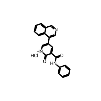 Cl.O=C(Nc1ccccc1)c1cc(-c2cncc3ccccc23)c[nH]c1=O